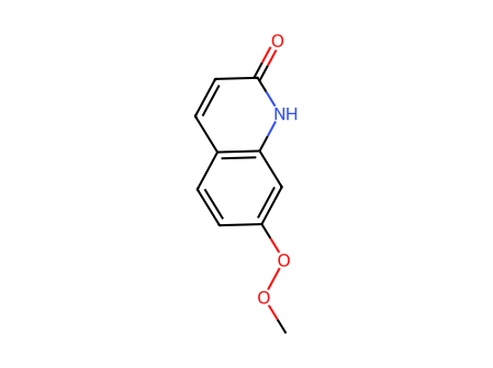 COOc1ccc2ccc(=O)[nH]c2c1